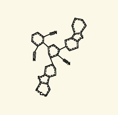 N#Cc1cccc(C#N)c1-c1cc(-c2ccc3c(c2)sc2ccccc23)c(C#N)c(-c2ccc3sc4ccccc4c3c2)c1